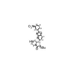 CC(C)(C)OC(=O)N1CCNCC1Cc1ccc2oc(-c3cccc([N+](=O)[O-])c3)nc2n1